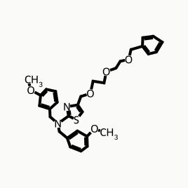 COc1cccc(CN(Cc2cccc(OC)c2)c2nc(COCCOCCOCc3ccccc3)cs2)c1